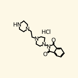 Cl.O=C1c2ccccc2C(=O)N1N1CCN(CCN2CCNCC2)CC1